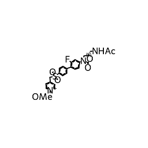 CO[n+]1ccc(CS(=O)(=O)c2ccc(-c3ccc(N4C[C@H](CNC(C)=O)OC4=O)cc3F)cc2)cc1